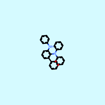 c1ccc(Nc2cccc(-c3ccccc3)c2N(c2ccccc2)c2ccccc2)cc1